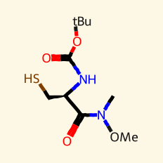 CON(C)C(=O)[C@@H](CS)NC(=O)OC(C)(C)C